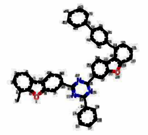 Cc1cccc2c1oc1cc(-c3nc(-c4ccccc4)nc(-c4ccc5c(c4)oc4cccc(-c6ccc(-c7ccccc7)cc6)c45)n3)ccc12